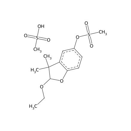 CCOC1Oc2ccc(OS(C)(=O)=O)cc2C1(C)C.CS(=O)(=O)O